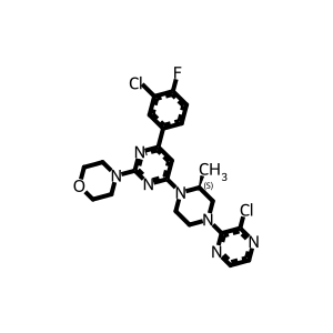 C[C@H]1CN(c2nccnc2Cl)CCN1c1cc(-c2ccc(F)c(Cl)c2)nc(N2CCOCC2)n1